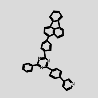 c1ccc(-c2nc(-c3ccc(-c4cccnc4)cc3)nc(-c3ccc(-c4ccc5c6c(cccc46)-c4ccccc4-5)cc3)n2)cc1